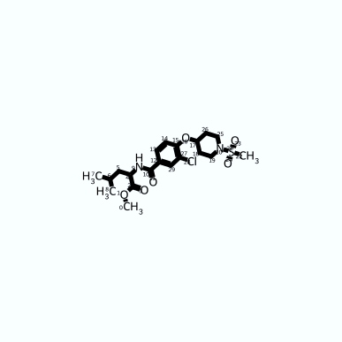 COC(=O)C(CC(C)C)NC(=O)c1ccc(OC2CCN(S(C)(=O)=O)CC2)c(Cl)c1